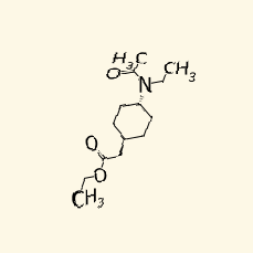 CCOC(=O)C[C@H]1CC[C@H](N(CC)C(C)=O)CC1